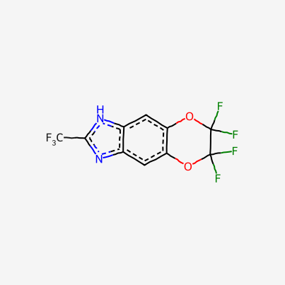 FC(F)(F)c1nc2cc3c(cc2[nH]1)OC(F)(F)C(F)(F)O3